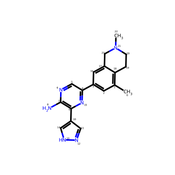 Cc1cc(-c2cnc(N)c(-c3cn[nH]c3)n2)cc2c1CCN(C)C2